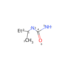 CCC(C)[N]C([NH])=O